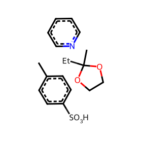 CCC1(C)OCCO1.Cc1ccc(S(=O)(=O)O)cc1.c1ccncc1